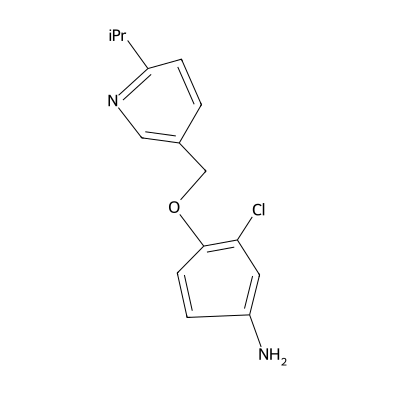 CC(C)c1ccc(COc2ccc(N)cc2Cl)cn1